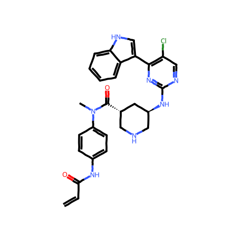 C=CC(=O)Nc1ccc(N(C)C(=O)[C@H]2CNC[C@H](Nc3ncc(Cl)c(-c4c[nH]c5ccccc45)n3)C2)cc1